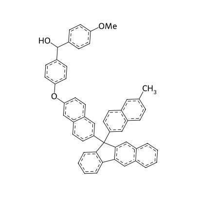 COc1ccc(C(O)c2ccc(Oc3ccc4cc(C5(c6ccc7cc(C)ccc7c6)c6ccccc6-c6cc7ccccc7cc65)ccc4c3)cc2)cc1